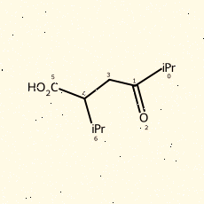 CC(C)C(=O)CC(C(=O)O)C(C)C